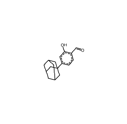 O=Cc1ccc(C23CC4CC(CC(C4)C2)C3)cc1O